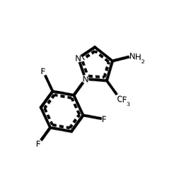 Nc1cnn(-c2c(F)cc(F)cc2F)c1C(F)(F)F